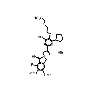 Br.COc1cc2c(c(F)c1OC)C(=N)N(CC(=O)c1cc(N3CCCC3)c(OCCOCC(=O)O)c(C(C)(C)C)c1)C2